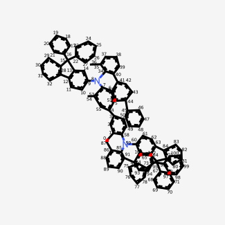 Cc1cc(-c2ccc(N(c3ccc4c(c3)C(c3ccccc3)(c3ccccc3)c3ccccc3-4)c3c(C)cccc3-c3ccc(-c4ccccc4)cc3)c(C)c2)ccc1N(c1ccc2c(c1)C(c1ccccc1)(c1ccccc1)c1ccccc1-2)c1c(C)cccc1-c1ccc(-c2ccccc2)cc1